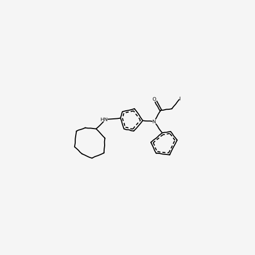 O=C(CI)N(c1ccccc1)c1ccc(NC2CCCCCCC2)cc1